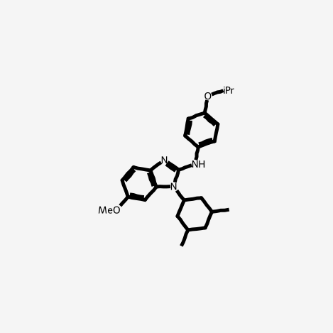 COc1ccc2nc(Nc3ccc(OC(C)C)cc3)n(C3CC(C)CC(C)C3)c2c1